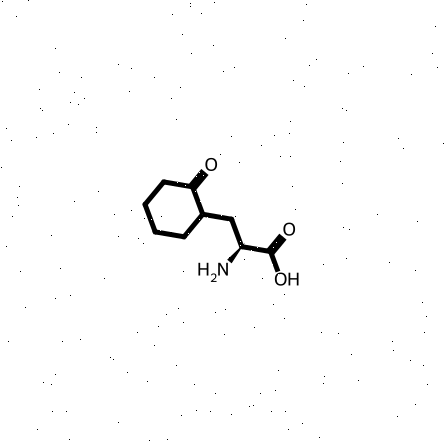 N[C@@H](CC1CCCCC1=O)C(=O)O